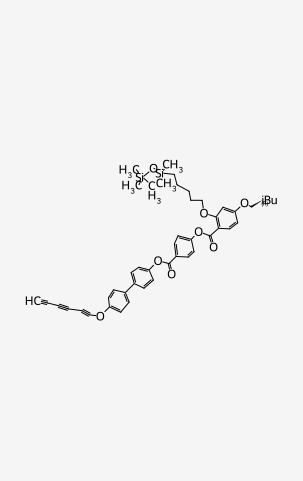 C#CC#CC#COc1ccc(-c2ccc(OC(=O)c3ccc(OC(=O)c4ccc(OC[C@H](C)CC)cc4OCCCCC[Si](C)(C)O[Si](C)(C)C)cc3)cc2)cc1